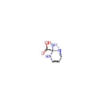 NC1(C(=O)O)N=CC=CN1